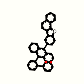 c1ccc(-c2ccccc2-c2c3ccccc3c(-c3ccc4oc5c6ccccc6ccc5c4c3)c3ccccc23)cc1